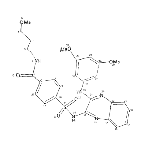 COCCCNC(=O)c1ccc(S(=O)(=O)Nc2nc3ccccc3nc2Nc2cc(OC)cc(OC)c2)cc1